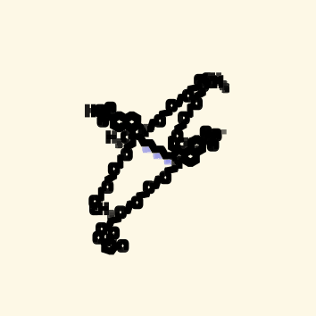 COCCOCCOCCOCC[N+]1=C(/C=C/C=C/C=C2/N(CCOCCOCCOCCOCCC(=O)ON3C(=O)CCC3=O)c3ccc4cc(S(=O)(=O)[O-])ccc4c3C2(C)CCOCCOCCOCCOC)C(C)(CCOCCOCCOCCOC)c2c1ccc1cc(S(=O)(=O)O)ccc21